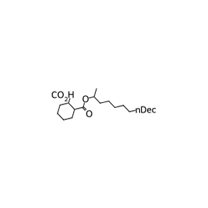 CCCCCCCCCCCCCCCC(C)OC(=O)C1CCCCC1C(=O)O